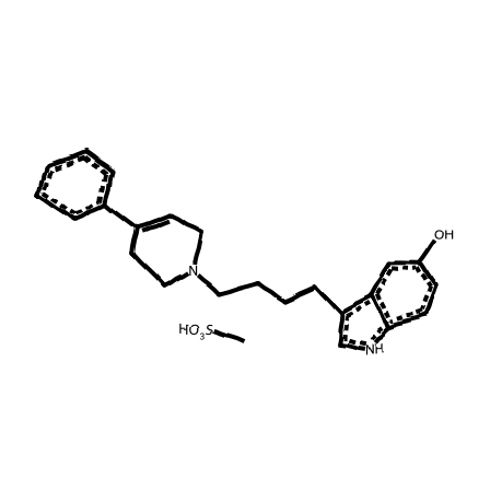 CS(=O)(=O)O.Oc1ccc2[nH]cc(CCCCN3CC=C(c4ccccc4)CC3)c2c1